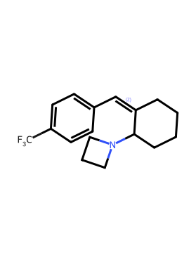 FC(F)(F)c1ccc(/C=C2/CCCCC2N2CCC2)cc1